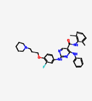 Cc1cccc(C)c1NC(=O)c1cnc(Nc2ccc(OCCCN3CCCCC3)c(F)c2)nc1Nc1ccccc1